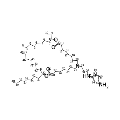 CCCCCCCCC(CC)OC(=O)CCCCCCCN(CCCCCCCC(=O)OC(CCCCCCCC)CCCCCCCC)CCCNc1cc(N)nn1C